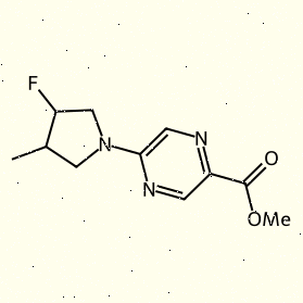 COC(=O)c1cnc(N2CC(C)C(F)C2)cn1